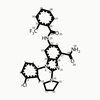 Cc1c(Cl)cccc1-n1c(N2CCCC2)nc2c(C(N)=O)cc(NC(=O)c3ccccc3C(F)(F)F)cc21